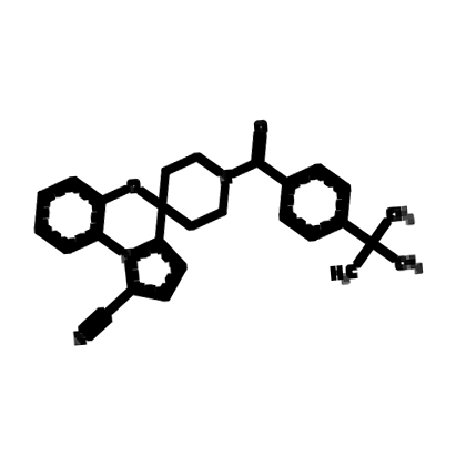 CC(C)(C)c1ccc(C(=O)N2CCC3(CC2)Oc2ccccc2-n2c(C#N)ccc23)cc1